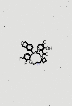 O=C1c2c(O)c(=O)ccn2N2CN1C1(/C=C/COc3c(ccc(F)c3F)C2c2ccc3c(c2)COC3)CCC1